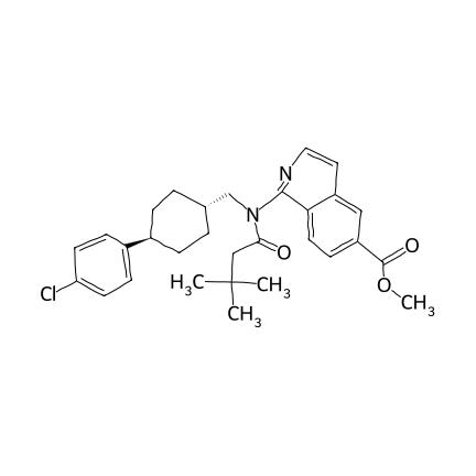 COC(=O)c1ccc2c(N(C[C@H]3CC[C@H](c4ccc(Cl)cc4)CC3)C(=O)CC(C)(C)C)nccc2c1